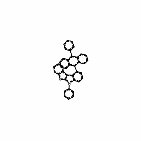 c1ccc(-c2c3ccccc3c(-c3cccc4c3c3c5ccccc5sc3n4-c3ccccc3)c3ccccc23)cc1